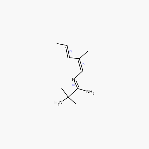 C/C=C/C(C)=C\N=C(/N)C(C)(C)N